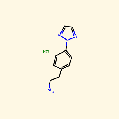 Cl.NCCc1ccc(-n2nccn2)cc1